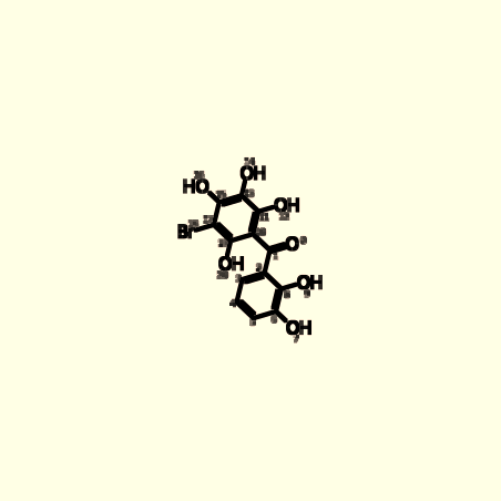 O=C(c1cccc(O)c1O)c1c(O)c(O)c(O)c(Br)c1O